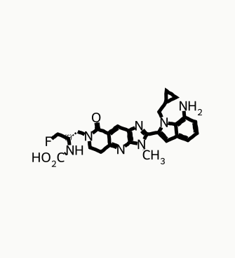 Cn1c(-c2cc3cccc(N)c3n2CC2CC2)nc2cc3c(nc21)CCN(C[C@@H](CF)NC(=O)O)C3=O